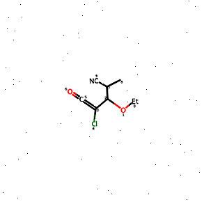 CCOC(C(Cl)=C=O)C(C)C#N